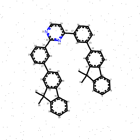 CC1(C)c2ccccc2-c2ccc(-c3cccc(-c4ccnc(-c5cccc(-c6ccc7c(c6)C(C)(C)c6ccccc6-7)c5)n4)c3)cc21